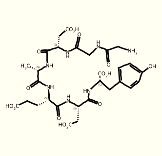 C[C@H](NC(=O)[C@H](CC(=O)O)NC(=O)CNC(=O)CN)C(=O)N[C@@H](CCC(=O)O)C(=O)N[C@@H](CC(=O)O)C(=O)N[C@@H](Cc1ccc(O)cc1)C(=O)O